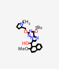 COc1ccc2ccccc2c1C(O)c1cnc2c(OC(C)(C)C)nc(OCC3CCCN3C)nn12